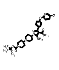 CC(C)(C)OC(=O)N1CCC(N2CCC(n3nc(-c4ccc(Oc5ccc(Cl)cn5)cc4)c(C(N)=O)c3N)CC2)CC1